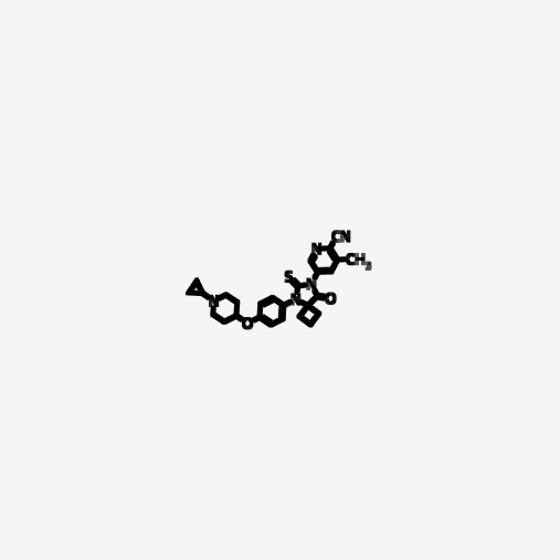 Cc1cc(N2C(=O)C3(CCC3)N(c3ccc(OC4CCN(C5CC5)CC4)cc3)C2=S)cnc1C#N